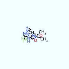 C[C@@H]1CC(n2ncc(Nc3nc(NC4(C)CC4)ncc3C(F)(F)F)cc2=O)C[C@H](C)O1